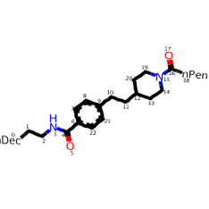 CCCCCCCCCCCCNC(=O)c1ccc(C[CH]C2CCN(C(=O)CCCCC)CC2)cc1